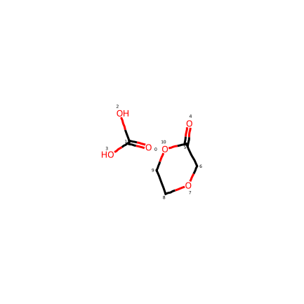 O=C(O)O.O=C1COCCO1